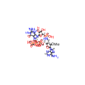 CO[C@@H]1C(CNP(=O)(O)OC[C@H]2O[C@@H](n3cnc4c(=O)[nH]c(N)nc43)[C@H](O)[C@@H]2O)[C@@H](COP(=O)(O)OP(=O)(O)OP(=O)(O)O)O[C@H]1n1cnc2c(N)ncnc21